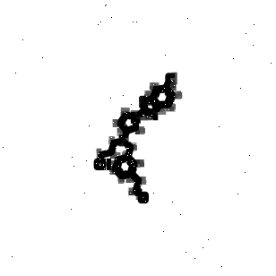 CCCCN(Cc1cccc(CC=O)c1)C1CCN(c2nc3ccc(Cl)cc3s2)C1